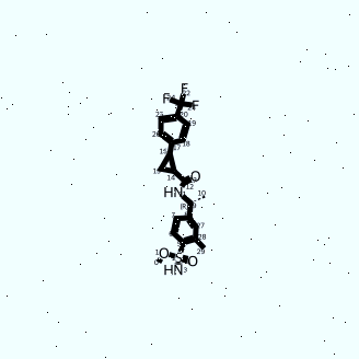 COS(=N)(=O)c1ccc([C@@H](C)NC(=O)C2CC2c2ccc(C(F)(F)F)cc2)cc1C